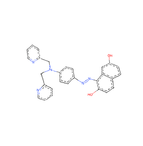 Oc1ccc2ccc(O)c(/N=N/c3ccc(N(Cc4ccccn4)Cc4ccccn4)cc3)c2c1